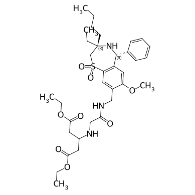 CCCC[C@]1(CC)CS(=O)(=O)c2cc(CNC(=O)CNC(CC(=O)OCC)CC(=O)OCC)c(OC)cc2[C@@H](c2ccccc2)N1